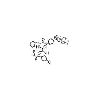 CC(C)(C)OC(=O)c1ccc(NC(=O)C(Cc2ccccc2)NC(=O)C(=O)Nc2cc(Cl)ccc2OC(F)C(F)F)cc1